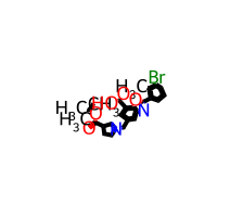 Cc1c(Br)cccc1-c1nc2cc(CN3CCC(C(=O)OC(C)(C)C)C3)cc(C(=O)O)c2o1